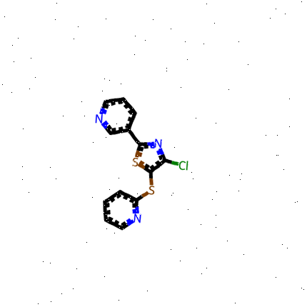 Clc1nc(-c2cccnc2)sc1Sc1ccccn1